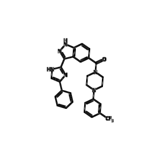 O=C(c1ccc2[nH]nc(-c3nc(-c4ccccc4)c[nH]3)c2c1)N1CCN(c2cccc(C(F)(F)F)c2)CC1